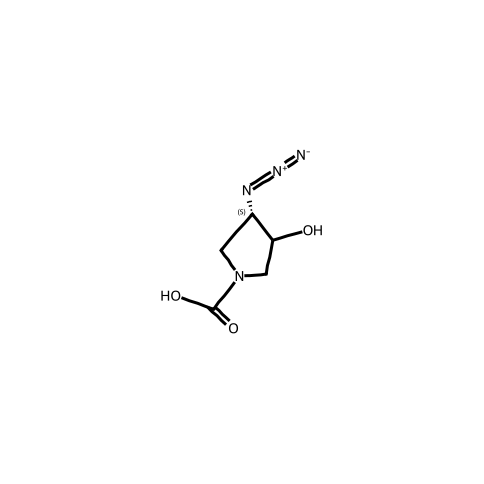 [N-]=[N+]=N[C@H]1CN(C(=O)O)CC1O